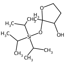 CC(C)[Si](OC1(C)OCCC1O)(C(C)C)C(C)C